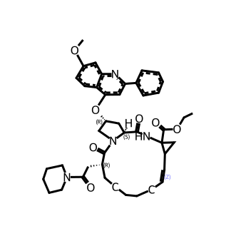 CCOC(=O)C12CC1/C=C\CCCCC[C@H](CC(=O)N1CCCCC1)C(=O)N1C[C@H](Oc3cc(-c4ccccc4)nc4cc(OC)ccc34)C[C@H]1C(=O)N2